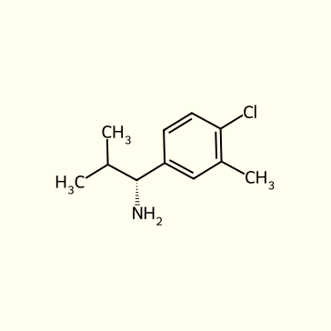 Cc1cc([C@H](N)C(C)C)ccc1Cl